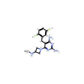 CNC1CN(c2nc(N)nc(N)c2Cc2cc(F)ccc2F)C1